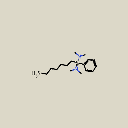 CN(C)[Si](CCCCCC[SiH3])(c1ccccc1)N(C)C